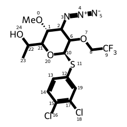 CO[C@@H]1C(N=[N+]=[N-])C(OCC(F)(F)F)[C@@H](Sc2ccc(Cl)c(Cl)c2)OC1C(C)O